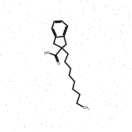 CCCCCCCCCC1(C(=O)O)Cc2ccccc2C1